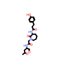 CC(=O)CC(C=O)NC(=O)CN1CCCCC(NC(=O)CCc2ccc(O)cc2)C1=O